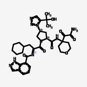 CC(C)(O)c1cnnn1[C@H]1C[C@@H](C(=O)NC2(C(=O)C(N)=O)CCOCC2)N(C(=O)/C(CC2CCCCC2)=N/C(=O)c2cccc3cn[nH]c23)C1